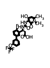 Cc1cc(O)c(NC(=O)N[C@@H](CC(=O)O)c2cc(-c3cccc(OC(F)(F)F)c3)ccc2F)c(=O)n1C